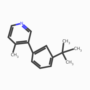 Cc1ccncc1-c1cccc(C(C)(C)C)c1